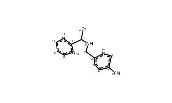 CCC(NCc1ccc(C#N)cn1)c1ncccn1